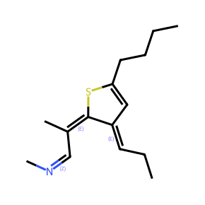 CC\C=c1/cc(CCCC)s/c1=C(C)/C=N\C